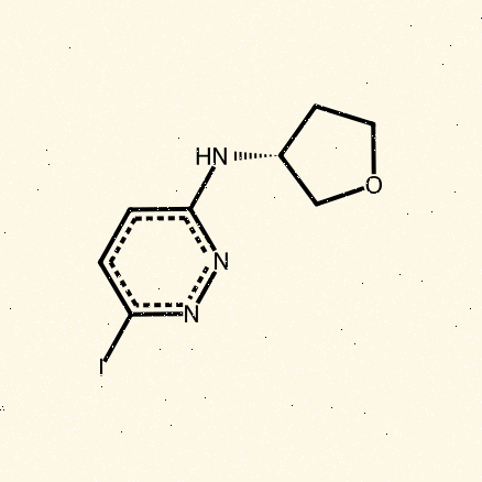 Ic1ccc(N[C@@H]2CCOC2)nn1